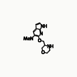 CNc1cc2cc[nH]c2nc1OCC1COCCN1